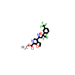 COC(=O)c1ncc(C2=NOC(c3cccc(C(F)(F)F)c3)(C(F)(F)F)C2)c2ccoc12